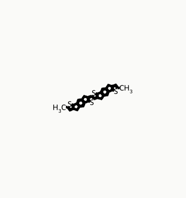 Cc1cc2c(s1)-c1cc3c(cc1C2)-c1sc2c4c(sc2c1C3)-c1cc2c(cc1C4)-c1sc(C)cc1C2